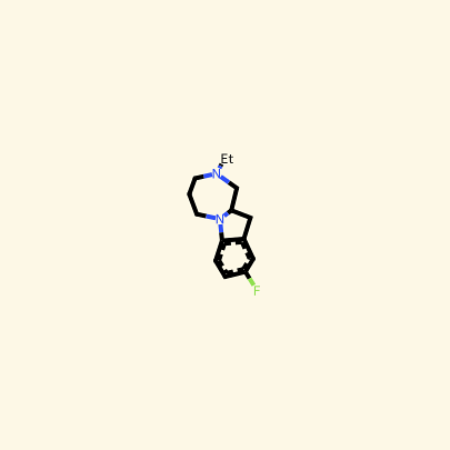 CCN1CCCN2c3ccc(F)cc3CC2C1